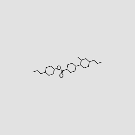 CCCC1CCC(OC(=O)C2CCC(C3CCC(CCC)CC3C)CC2)CC1